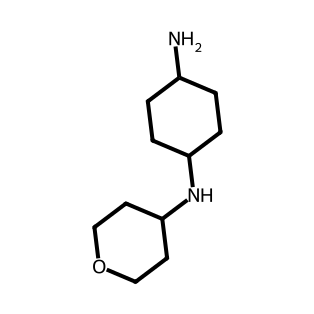 NC1CCC(NC2CCOCC2)CC1